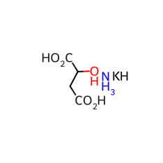 N.O=C(O)CC(O)C(=O)O.[KH]